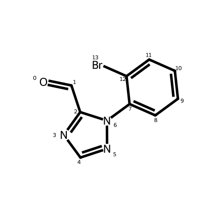 O=Cc1ncnn1-c1ccccc1Br